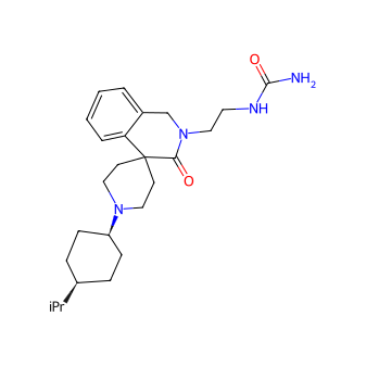 CC(C)[C@H]1CC[C@@H](N2CCC3(CC2)C(=O)N(CCNC(N)=O)Cc2ccccc23)CC1